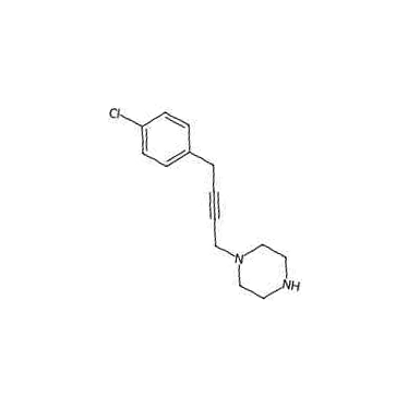 Clc1ccc(CC#CCN2CCNCC2)cc1